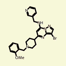 COc1ccccc1CN1CCC(c2cc(NCc3cccnc3)n3ncc(Br)c3n2)CC1